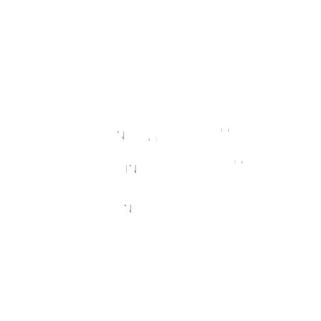 COC(=O)CC(C)c1ccc(N(CC(C)C)C2CCCCC2)c(Nc2nc(-c3ccccc3)co2)c1